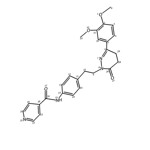 COc1ccc(C2=NN(CCc3ccc(NC(=O)c4ccncc4)cc3)C(=O)CC2)cc1OC